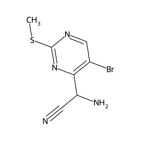 CSc1ncc(Br)c(C(N)C#N)n1